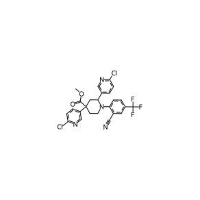 COC(=O)C1(c2ccc(Cl)nc2)CCN(c2ccc(C(F)(F)F)cc2C#N)C(c2ccc(Cl)nc2)C1